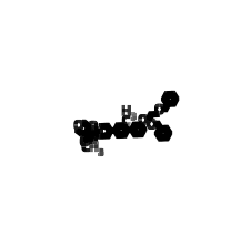 COC(=O)C1(S(=O)(=O)N2CCC(c3ccc(-c4cccc(OC(CCOCc5ccccc5)OCc5ccccc5)c4)c(C)c3)CC2)CCOCC1